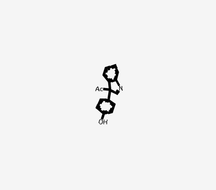 CC(=O)C1(c2ccc(O)cc2)C=Nc2ccccc21